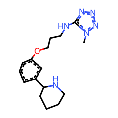 Cn1nnnc1NCCCOc1cccc(C2CCCCN2)c1